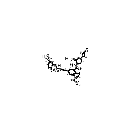 COc1ccc(S(C)(=O)=O)cc1NCC#Cc1cc(C(=O)N[C@H]2CCN(C3CC(F)C3)C[C@@H]2C)c2ncn(CC(F)(F)F)c2c1